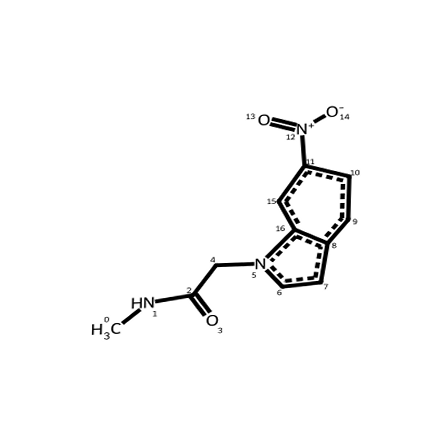 CNC(=O)Cn1ccc2ccc([N+](=O)[O-])cc21